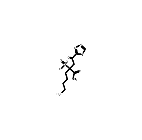 CCCCCC(CC(=O)c1nncs1)(C(N)=O)S(=O)(=O)Cl